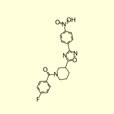 O=C(c1ccc(F)cc1)N1CCCC(c2nc(-c3ccc([N+](=O)O)cc3)no2)C1